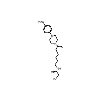 COc1ccc(N2CCN(C(=O)CCCCCNC(=O)CBr)CC2)cc1